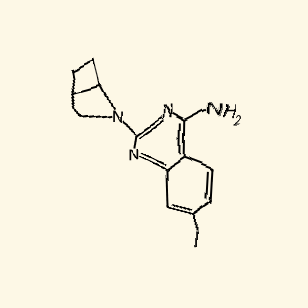 Nc1nc(N2CC3CCC32)nc2cc(I)ccc12